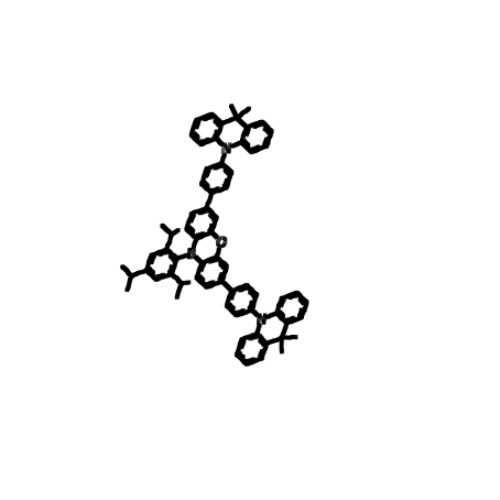 CC(C)c1cc(C(C)C)c(B2c3ccc(-c4ccc(N5c6ccccc6C(C)(C)c6ccccc65)cc4)cc3Oc3cc(-c4ccc(N5c6ccccc6C(C)(C)c6ccccc65)cc4)ccc32)c(C(C)C)c1